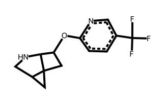 FC(F)(F)c1ccc(OC2CC34CC3CNC24)nc1